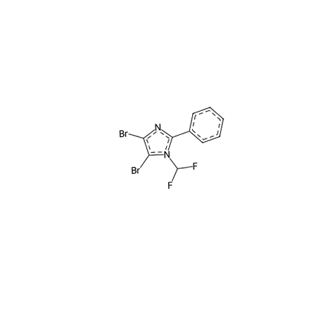 FC(F)n1c(-c2ccccc2)nc(Br)c1Br